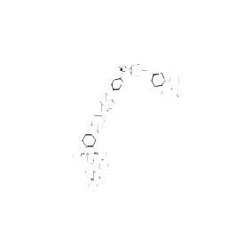 N#Cc1ccc(OC2CCN(C(=O)c3ccc(N4CCN(C5CCN(c6ccc7c(c6)C(=O)N(C6CCC(=O)NC6=O)C7=O)CC5)CC4)cc3)CC2)cc1Cl